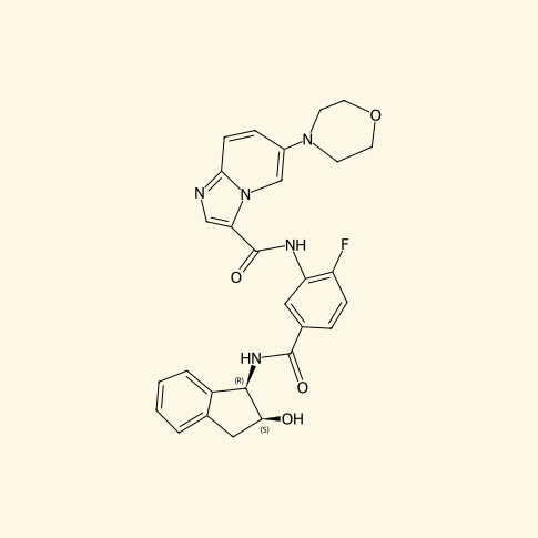 O=C(N[C@@H]1c2ccccc2C[C@@H]1O)c1ccc(F)c(NC(=O)c2cnc3ccc(N4CCOCC4)cn23)c1